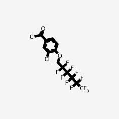 O=C(Cl)c1ccc(OCC(F)(F)C(F)(F)C(F)(F)C(F)(F)C(F)(F)F)c(Cl)c1